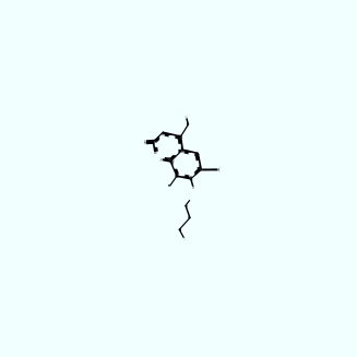 O=c1cc(CO)c2cc(I)c(OCCCO)c(I)c2o1